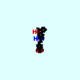 CC(O)c1ccccc1-c1ccc2[nH]c(C=Cc3ccc(S(C)(=O)=O)cc3)nc2c1